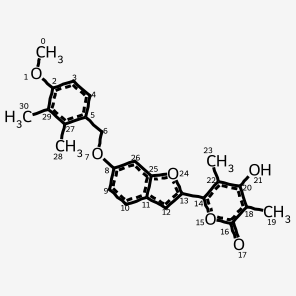 COc1ccc(COc2ccc3cc(-c4oc(=O)c(C)c(O)c4C)oc3c2)c(C)c1C